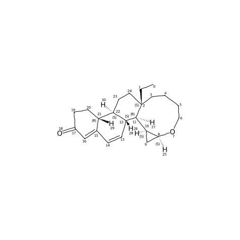 CC[C@@]12CCCCO[C@H]3C[C@H]3[C@H]1[C@@H]1C=CC3=CC(=O)CC[C@@H]3[C@H]1CC2